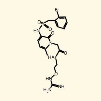 Cc1ccc(NS(=O)(=O)Cc2ccccc2Br)c(=O)n1CC(=O)[AsH]CCONC(=N)N